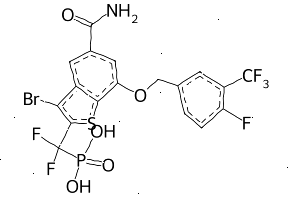 NC(=O)c1cc(OCc2ccc(F)c(C(F)(F)F)c2)c2sc(C(F)(F)P(=O)(O)O)c(Br)c2c1